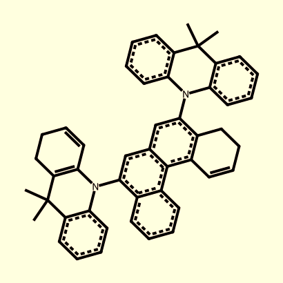 CC1(C)C2=C(C=CCC2)N(c2cc3cc(N4c5ccccc5C(C)(C)c5ccccc54)c4c(c3c3ccccc23)C=CCC4)c2ccccc21